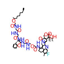 C#CCCCCCC(C)OCC(=O)NCC(=O)NCC(=O)N[C@@H](Cc1ccccc1)C(=O)NCC(=O)NCOCC(=O)N[C@H]1CCc2c(C)c(F)cc3nc4c(c1c23)Cn1c-4cc2c(c1=O)COC(=O)[C@]2(O)CC